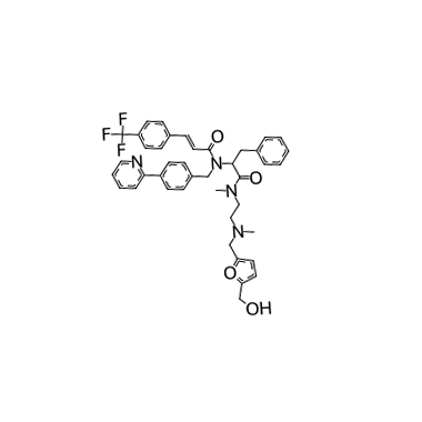 CN(CCN(C)C(=O)C(Cc1ccccc1)N(Cc1ccc(-c2ccccn2)cc1)C(=O)C=Cc1ccc(C(F)(F)F)cc1)Cc1ccc(CO)o1